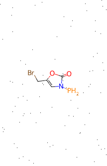 O=c1oc(CBr)cn1P